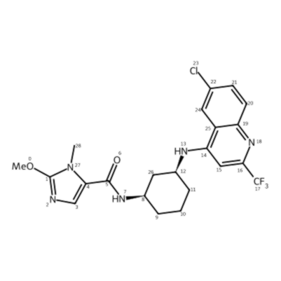 COc1ncc(C(=O)N[C@@H]2CCC[C@H](Nc3cc(C(F)(F)F)nc4ccc(Cl)cc34)C2)n1C